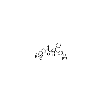 O=C(Nc1ccc2c(c1)OC(F)(Cl)C(F)(F)O2)N1CC(c2ccccc2)=C(c2ccc(OC(F)F)cc2)N1